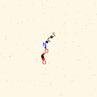 O=CON=C=S